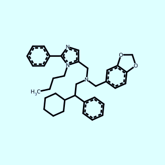 CCCCn1c(CN(Cc2ccc3c(c2)OCO3)CC(c2ccccc2)C2CCCCC2)cnc1-c1ccccc1